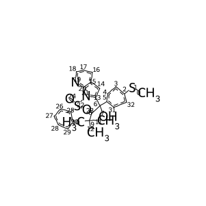 CSc1ccc(C(O)(CC(C)(C)C)c2cc3cccnc3n2S(=O)(=O)c2ccccc2)cc1